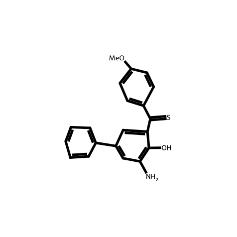 COc1ccc(C(=S)c2cc(-c3ccccc3)cc(N)c2O)cc1